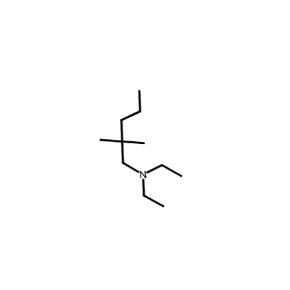 CCCC(C)(C)CN(CC)CC